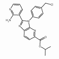 CC(C)OC(=O)c1ccc2nc(-c3cccnc3N)n(-c3ccc(CCl)cc3)c2n1